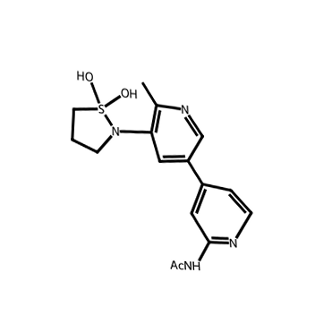 CC(=O)Nc1cc(-c2cnc(C)c(N3CCCS3(O)O)c2)ccn1